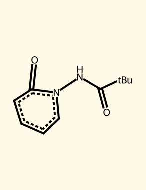 CC(C)(C)C(=O)Nn1ccccc1=O